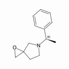 C[C@H](c1ccccc1)N1CCC2(CO2)C1